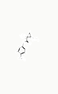 C[C@@H]1C[C@@]1(C)C(=O)Oc1ccc([N+](=O)[O-])cc1